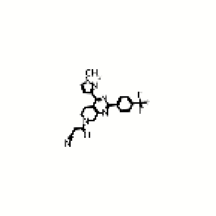 Cn1ccc(-c2nc(-c3ccc(C(F)(F)F)cc3)nc3c2CCN(C(=O)CC#N)C3)n1